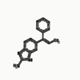 CC=C(c1ccccc1)c1ccc2nc(N)[nH]c2c1